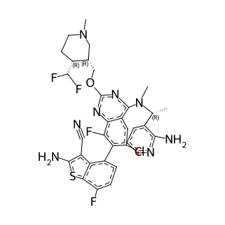 C[C@H](c1cccnc1N)N(C)c1nc(OC[C@H]2CN(C)CC[C@H]2C(F)F)nc2c(F)c(-c3ccc(F)c4sc(N)c(C#N)c34)c(Cl)cc12